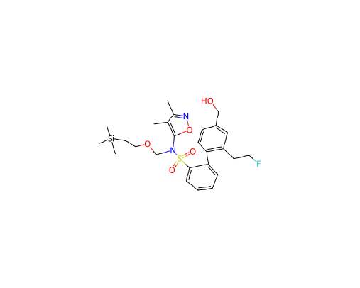 Cc1noc(N(COCC[Si](C)(C)C)S(=O)(=O)c2ccccc2-c2ccc(CO)cc2CCF)c1C